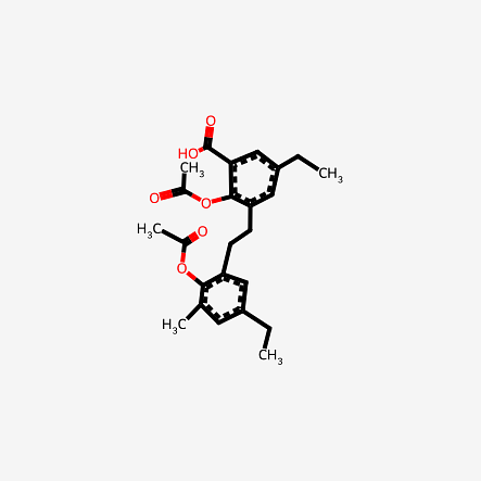 CCc1cc(C)c(OC(C)=O)c(CCc2cc(CC)cc(C(=O)O)c2OC(C)=O)c1